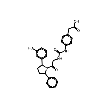 O=C(O)Cc1ccc(NC(=O)NCC(=O)N2C(c3ccccc3)CCC2c2cccc(O)c2)cc1